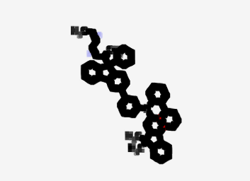 C=C(/C=C\C=C/C)C1(c2ccccc2)c2ccccc2-c2cc(-c3cccc(N(c4ccc5c(c4)C(C)(C)c4ccccc4-5)c4ccccc4-c4ccccc4)c3)ccc21